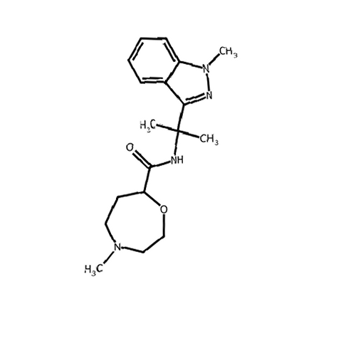 CN1CCOC(C(=O)NC(C)(C)c2nn(C)c3ccccc23)CC1